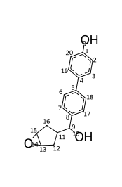 Oc1ccc(-c2ccc(C(O)C3CC4OC4C3)cc2)cc1